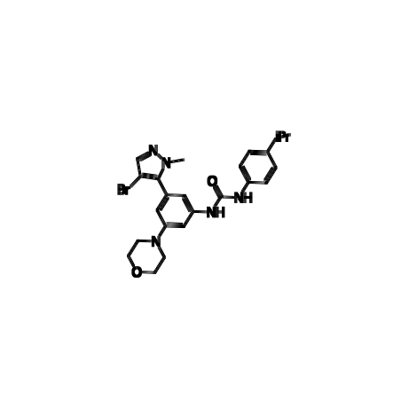 CC(C)c1ccc(NC(=O)Nc2cc(-c3c(Br)cnn3C)cc(N3CCOCC3)c2)cc1